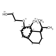 CC(C)=C1CCCc2ccc(OCCO)c(C)c21